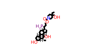 CC[C@H]1[C@@H](O)[C@@H]2[C@H](CC[C@]3(C)[C@@H]([C@H](P)CCOC(=O)N4CCC(CC)(CO)CC4)CC[C@@H]23)[C@@]2(C)CC[C@@H](O)C[C@@H]12